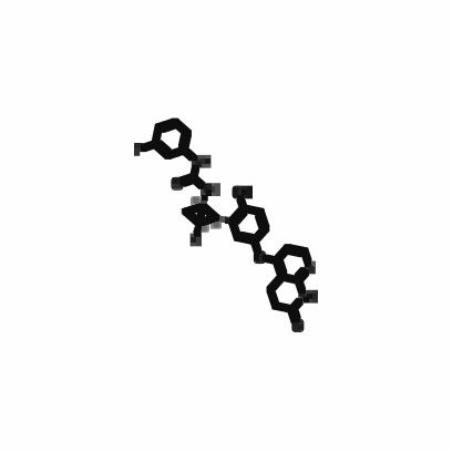 O=C1CCc2c(Oc3ccc(O)c([C@@H]4[C@@H]5C[C@@]45NC(=O)Nc4cccc(F)c4)c3)ccnc2N1